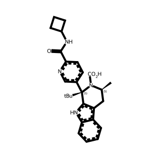 C[C@H]1Cc2c([nH]c3ccccc23)[C@@](c2ccc(C(=O)NC3CCC3)nc2)(C(C)(C)C)N1C(=O)O